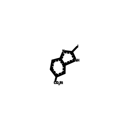 CCOC(=O)c1ccc2nc(I)[nH]c2c1